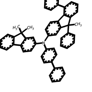 CC1(C)c2ccccc2-c2ccc(N(c3ccc(-c4ccccc4)cc3)c3ccc4c(c3)C(C)(c3ccccc3)c3cccc(-c5ccccc5)c3-4)cc21